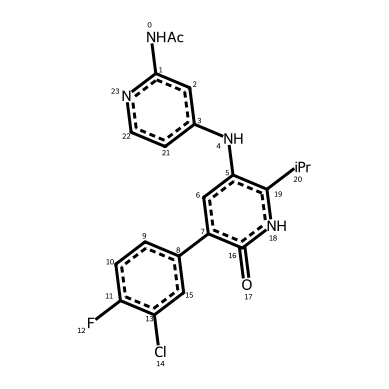 CC(=O)Nc1cc(Nc2cc(-c3ccc(F)c(Cl)c3)c(=O)[nH]c2C(C)C)ccn1